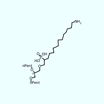 CCCCCOC[C@H](COCC(CCCCCCCCCCCCN)P(=O)(O)O)OCCCCC